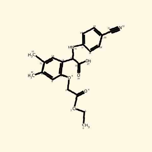 CCOC(=O)COc1cc(C)c(C)cc1C(Nc1ccc(C#N)cc1)C(=O)O